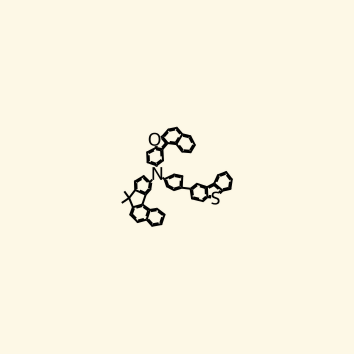 CC1(C)c2ccc(N(c3ccc(-c4ccc5sc6ccccc6c5c4)cc3)c3ccc4oc5ccc6ccccc6c5c4c3)cc2-c2c1ccc1ccccc21